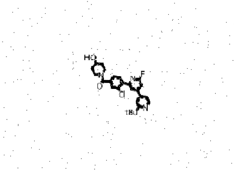 CC(C)(C)c1cc(-c2cc(F)nc(-c3ccc(C(=O)N4CCC(O)CC4)cc3Cl)c2)ccn1